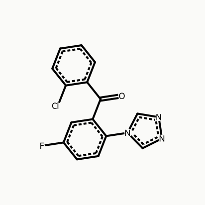 O=C(c1ccccc1Cl)c1cc(F)ccc1-n1cnnc1